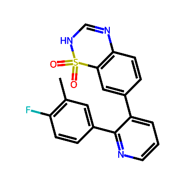 Cc1cc(-c2ncccc2-c2ccc3c(c2)S(=O)(=O)NC=N3)ccc1F